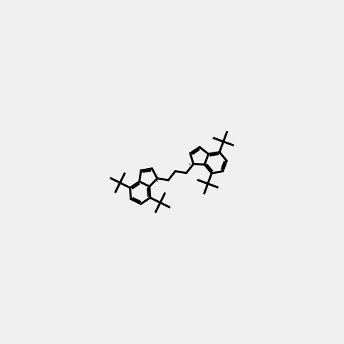 CC(C)(C)c1ccc(C(C)(C)C)c2c1C=C[C]2CCC[C]1C=Cc2c(C(C)(C)C)ccc(C(C)(C)C)c21